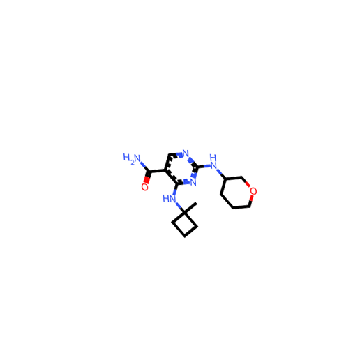 CC1(Nc2nc(NC3CCCOC3)ncc2C(N)=O)CCC1